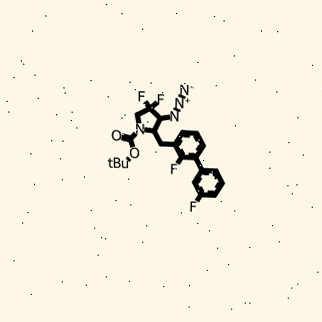 CC(C)(C)OC(=O)N1CC(F)(F)C(N=[N+]=[N-])C1Cc1cccc(-c2cccc(F)c2)c1F